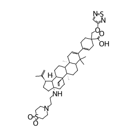 C=C[C@@]12CC[C@@]3(NCCN4CCS(=O)(=O)CC4)CC[C@@H](C(=C)C)C3[C@H]1CCC1[C@@]3(C)CC=C(C4=CCC(COc5cnsn5)(C(=O)O)CC4)C(C)(C)C3CC[C@]12C